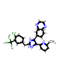 Cc1cccc(-c2[nH]c(Cc3ccc(F)c(C(F)(F)F)c3)nc2-c2ccc3nccnc3c2)n1